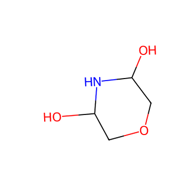 OC1COCC(O)N1